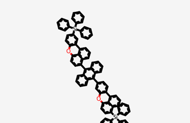 c1ccc([Si](c2ccccc2)(c2ccccc2)c2ccc3c(c2)-c2cccc4c(-c5c6ccccc6c(-c6ccc7c(c6)Oc6ccc([Si](c8ccccc8)(c8ccccc8)c8ccccc8)c8cccc-7c68)c6ccccc56)ccc(c24)O3)cc1